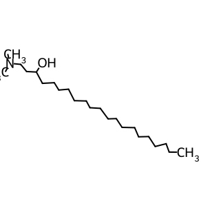 CCCCCCCCCCCCCCCCCCC(O)CCN(C)C